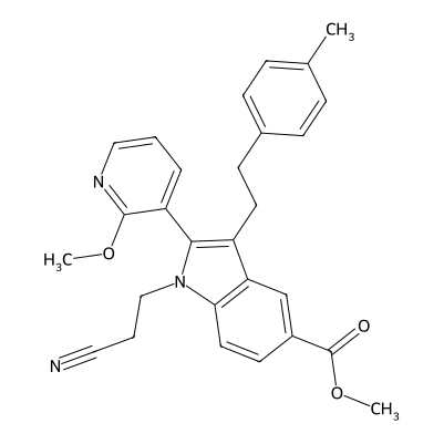 COC(=O)c1ccc2c(c1)c(CCc1ccc(C)cc1)c(-c1cccnc1OC)n2CCC#N